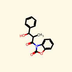 CC(C(=O)n1c(=O)oc2ccccc21)C(O)c1ccccc1